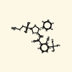 CCCS(=O)(=O)N1C[C@H](NC(=O)c2cccc(C(F)(F)F)c2Cl)[C@@H](c2ccccc2)C1